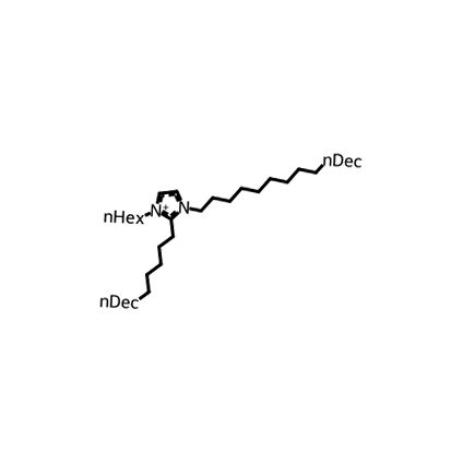 CCCCCCCCCCCCCCCCCCCn1cc[n+](CCCCCC)c1CCCCCCCCCCCCCCC